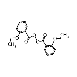 CCOc1ccccc1C(=O)OOC(=O)c1ccccc1OCC